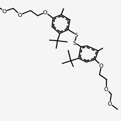 COCOCCOc1cc(C(C)(C)C)c(SSc2cc(C)c(OCCOCOC)cc2C(C)(C)C)cc1C